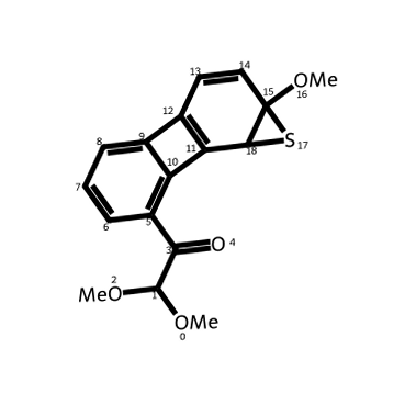 COC(OC)C(=O)c1cccc2c1C1=C2C=CC2(OC)SC12